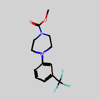 COC(=O)N1CCN(c2cccc(C(F)(F)F)c2)CC1